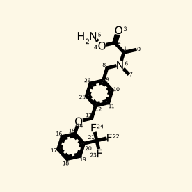 CC(C(=O)ON)N(C)Cc1ccc(COc2ccccc2C(F)(F)F)cc1